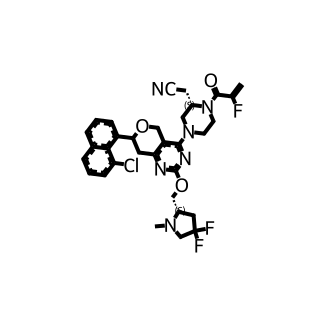 C=C(F)C(=O)N1CCN(c2nc(OC[C@@H]3CC(F)(F)CN3C)nc3c2COC(c2cccc4cccc(Cl)c24)C3)C[C@@H]1CC#N